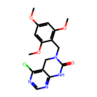 COc1cc(OC)c(CN2Cc3c(Cl)ncnc3NC2=O)c(OC)c1